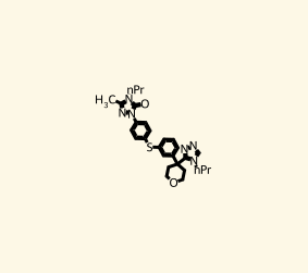 CCCn1cnnc1C1(c2cccc(Sc3ccc(-n4nc(C)n(CCC)c4=O)cc3)c2)CCOCC1